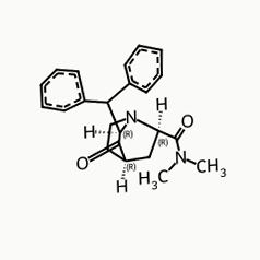 CN(C)C(=O)[C@H]1C[C@H]2CCN1[C@H](C(c1ccccc1)c1ccccc1)C2=O